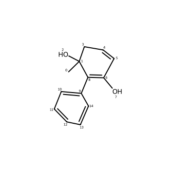 CC1(O)CC=CC(O)=C1c1ccccc1